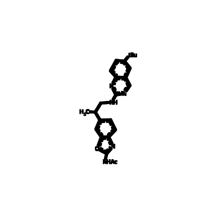 CC(=O)Nc1nc2ccc(C(C)CNc3ncc4cc(C(C)(C)C)ccc4n3)cc2o1